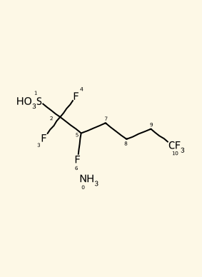 N.O=S(=O)(O)C(F)(F)C(F)CCCC(F)(F)F